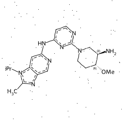 CO[C@@H]1CCN(c2nccc(Nc3cc4c(cn3)nc(C)n4C(C)C)n2)C[C@H]1N